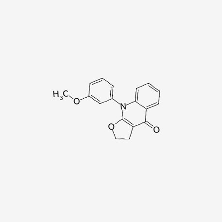 COc1cccc(-n2c3c(c(=O)c4ccccc42)CCO3)c1